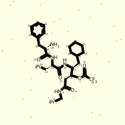 CC(C)CNC(=O)C[C@H](OC(=O)C(F)(F)F)[C@H](CC1CCCCC1)NC(=O)[C@H](CC(C)C)NC(=O)[C@@H](N)Cc1ccccc1